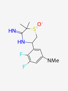 CNc1cc(F)c(F)c(C2C[S+]([O-])C(C)(C)C(=N)N2)c1